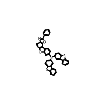 c1ccc(-c2nc3ccc4oc5cc(N(c6ccc7sc8ccccc8c7c6)c6ccc7sc8ccccc8c7c6)ccc5c4c3o2)cc1